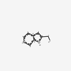 ICc1cc2ccncc2o1